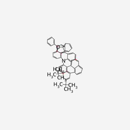 CC(C)(C)C1=CC(c2cccc3cccc(-c4ccccc4N(c4ccccc4-c4ccc(-c5ccccc5)cc4)c4cccc5oc6ccccc6c45)c23)=CC(C)(C(C)(C)C)C1